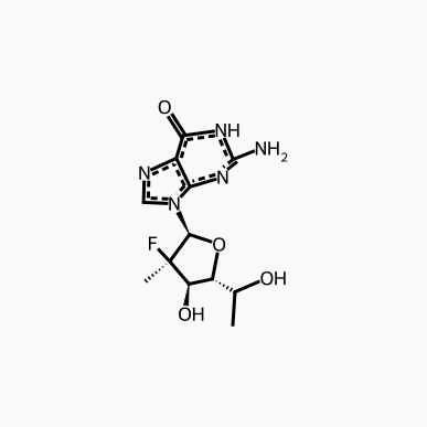 CC(O)[C@H]1O[C@H](n2cnc3c(=O)[nH]c(N)nc32)[C@](C)(F)[C@@H]1O